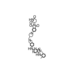 Cc1cccc(C)c1Nc1nn(C)c2nc(Nc3ccc4c(c3)CN(CC3CCN(c5ccc6c(c5)C(=O)N(C5CCC(=O)NC5=O)C6=O)CC3)C4)ncc12